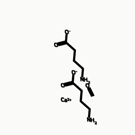 C=O.NCCCC(=O)[O-].NCCCC(=O)[O-].[Ca+2]